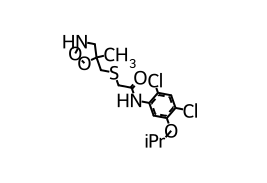 CC(C)Oc1cc(NC(=O)CSCC2(C)CNOO2)c(Cl)cc1Cl